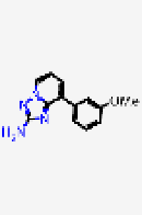 COc1cccc(-c2cccn3nc(N)nc23)c1